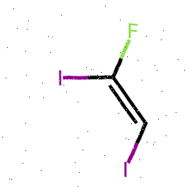 FC(I)=CI